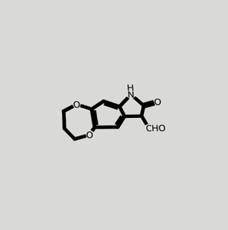 O=CC1C(=O)Nc2cc3c(cc21)OCCCO3